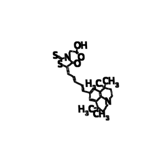 CC1(C)CCN2CCC(C)(C)c3cc(/C=C/C=C/C=C4/SC(=S)N(CC(=O)O)C4=O)cc1c32